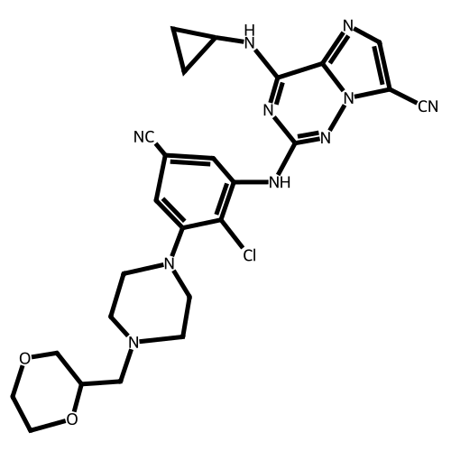 N#Cc1cc(Nc2nc(NC3CC3)c3ncc(C#N)n3n2)c(Cl)c(N2CCN(CC3COCCO3)CC2)c1